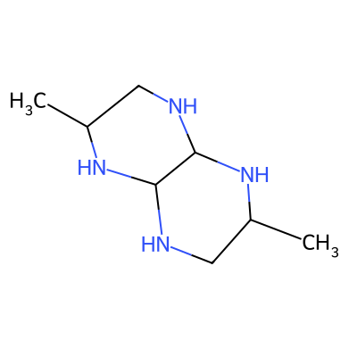 CC1CNC2NC(C)CNC2N1